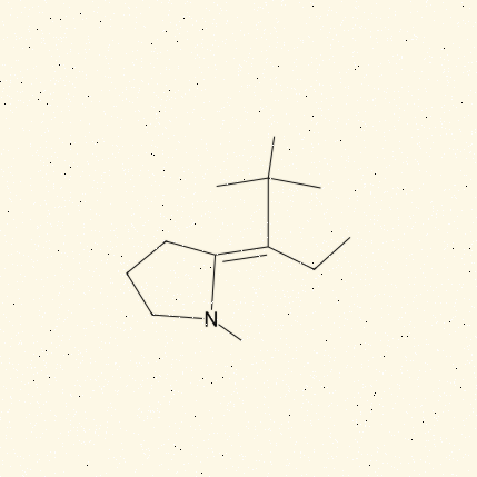 CC/C(=C1/CCCN1C)C(C)(C)C